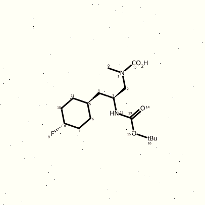 CN(C[C@H](C[C@H]1CC[C@H](F)CC1)NC(=O)OC(C)(C)C)C(=O)O